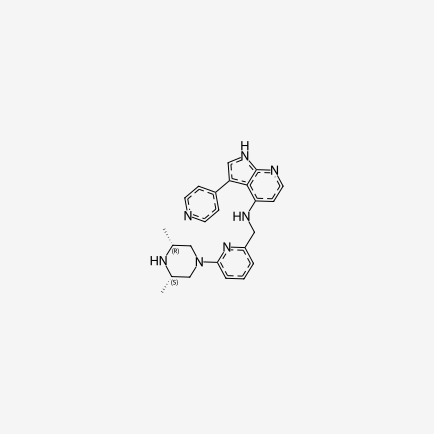 C[C@@H]1CN(c2cccc(CNc3ccnc4[nH]cc(-c5ccncc5)c34)n2)C[C@H](C)N1